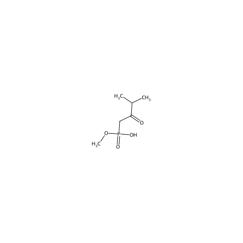 COP(=O)(O)CC(=O)C(C)C